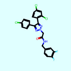 O=C(Cn1nc(-c2ccc(Cl)cc2)c(-c2ccc(Cl)cc2Cl)n1)NCc1ccc(F)c(F)c1